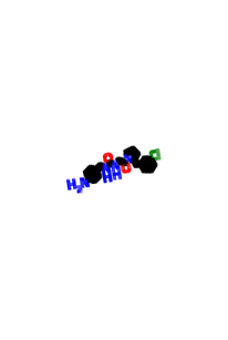 Nc1ccc(CNC(=O)NCC(=O)N2CCCC2Cc2cccc(Cl)c2)cc1